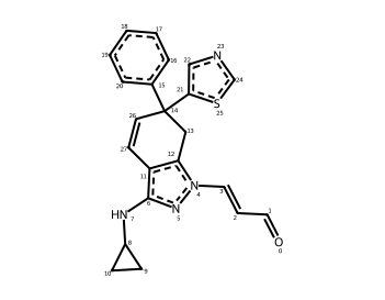 O=CC=Cn1nc(NC2CC2)c2c1CC(c1ccccc1)(c1cncs1)C=C2